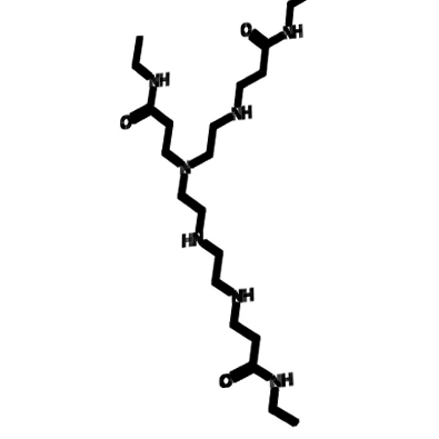 CCNC(=O)CCNCCNCCN(CCNCCC(=O)NCC)CCC(=O)NCC